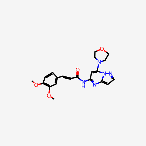 COc1ccc(C=CC(=O)Nc2cc(N3CCOCC3)n3nccc3n2)cc1OC